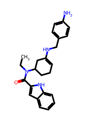 CCN(C(=O)c1cc2ccccc2[nH]1)C1CCC=C(NCc2ccc(N)cc2)C1